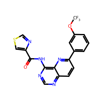 O=C(Nc1ncnc2ccc(-c3cccc(OC(F)(F)F)c3)nc12)c1cscn1